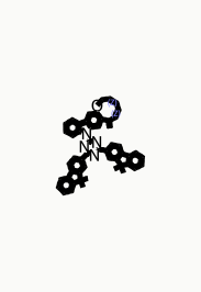 C=C1/C=C\C=C/COc2cc3c4ccccc4n(-c4nc(-c5ccc6c(c5)C(C)(C)c5ccccc5-6)nc(-c5ccc6c(c5)C(C)(C)c5ccccc5-6)n4)c3cc21